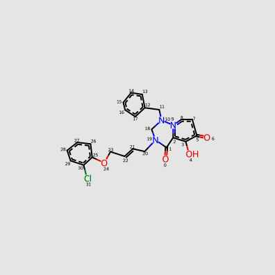 O=C1c2c(O)c(=O)ccn2N(Cc2ccccc2)CN1C/C=C/COc1ccccc1Cl